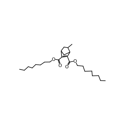 CCCCCCCCOC(=O)C1=C(C(=O)OCCCCCCCC)C2CC1CC2C